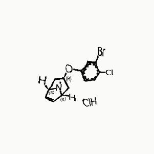 CN1[C@@H]2C=C[C@H]1C[C@H](Oc1ccc(Cl)c(Br)c1)C2.Cl